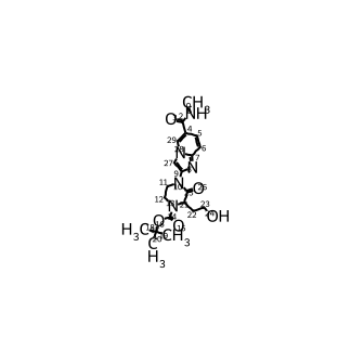 CNC(=O)c1ccc2nc(N3CCN(C(=O)OC(C)(C)C)C(CCO)C3=O)cn2c1